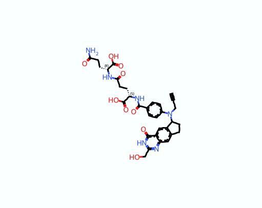 C#CCN(c1ccc(C(=O)N[C@@H](CCC(=O)N[C@H](CCC(N)=O)C(=O)O)C(=O)O)cc1)C1CCc2cc3nc(CO)[nH]c(=O)c3cc21